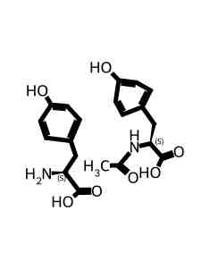 CC(=O)N[C@@H](Cc1ccc(O)cc1)C(=O)O.N[C@@H](Cc1ccc(O)cc1)C(=O)O